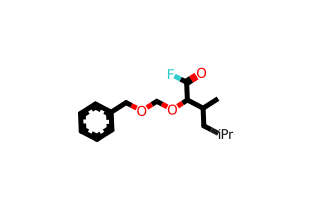 CC(C)CC(C)C(OCOCc1ccccc1)C(=O)F